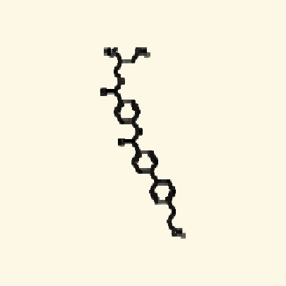 CCCc1ccc(-c2ccc(C(=O)Oc3ccc(C(=O)OCC(C)CC)cc3)cc2)cc1